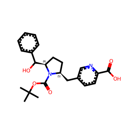 CC(C)(C)OC(=O)N1[C@H](Cc2ccc(C(=O)O)nc2)CC[C@@H]1C(O)c1ccccc1